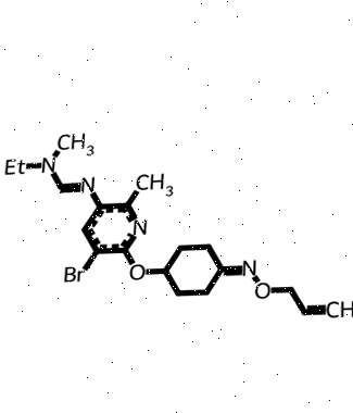 C=CCON=C1CCC(Oc2nc(C)c(/N=C/N(C)CC)cc2Br)CC1